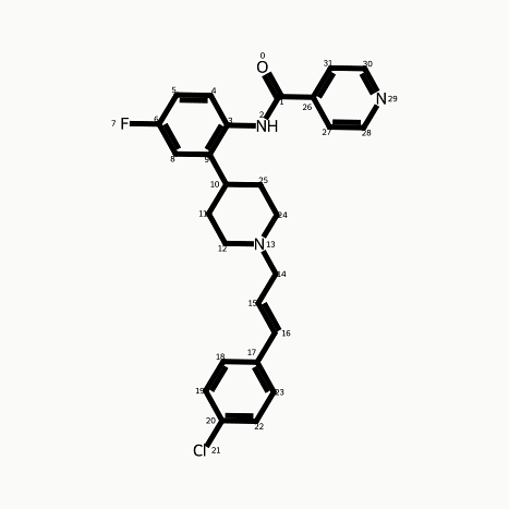 O=C(Nc1ccc(F)cc1C1CCN(CC=Cc2ccc(Cl)cc2)CC1)c1ccncc1